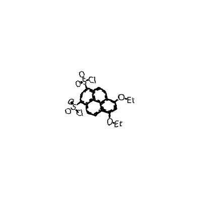 CCOc1cc(OCC)c2ccc3c(S(=O)(=O)Cl)cc(S(=O)(=O)Cl)c4ccc1c2c43